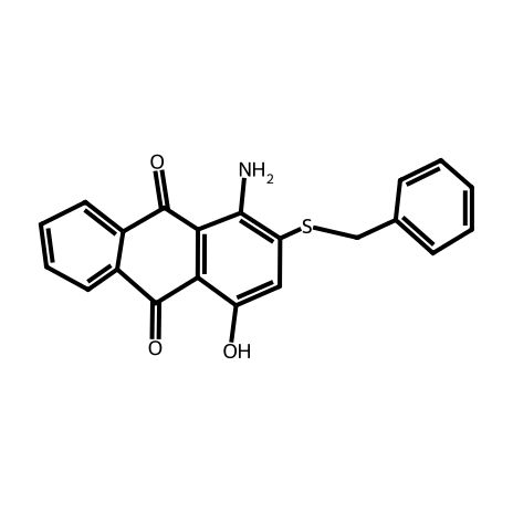 Nc1c(SCc2ccccc2)cc(O)c2c1C(=O)c1ccccc1C2=O